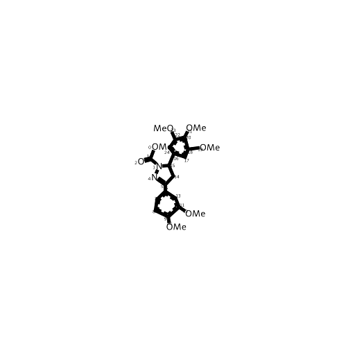 COC(=O)N1N=C(c2ccc(OC)c(OC)c2)CC1c1cc(OC)c(OC)c(OC)c1